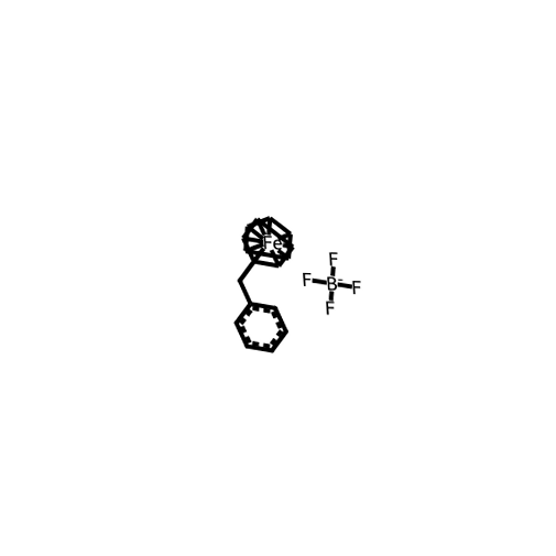 F[B-](F)(F)F.c1ccc(C[C]23[CH]4[CH]5[CH]6[CH]2[Fe]56432789[CH]3[CH]2[CH]7[CH]8[CH]39)cc1